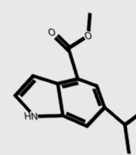 COC(=O)c1cc(C(C)C)cc2[nH]ccc12